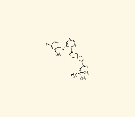 CC(C)(C)OC(=O)N1CC[C@@]2(CCN(c3ncncc3Oc3ccc(F)cc3O)C2)C1